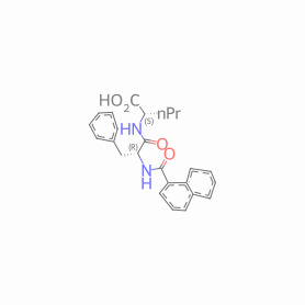 CCC[C@H](NC(=O)[C@@H](Cc1ccccc1)NC(=O)c1cccc2ccccc12)C(=O)O